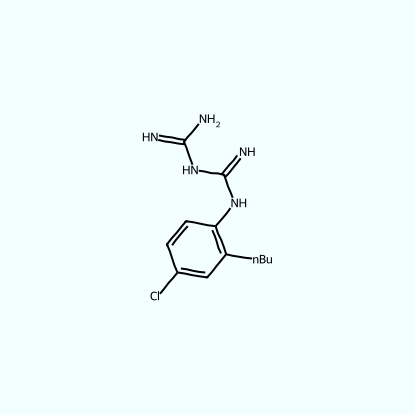 CCCCc1cc(Cl)ccc1NC(=N)NC(=N)N